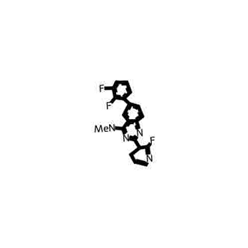 CNc1nc(C2CC=CN=C2F)nc2ccc(-c3cccc(F)c3F)cc12